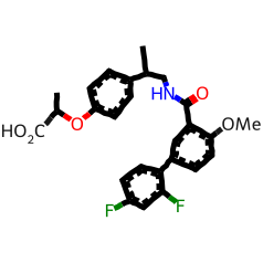 COc1ccc(-c2ccc(F)cc2F)cc1C(=O)NCC(C)c1ccc(OC(C)C(=O)O)cc1